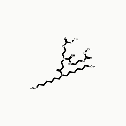 CCCCCCCCCCCCCCCCN(CCCCCCCCCCCCCCCC)C(=O)CCN(CCNC(=O)OC(C)(C)C)C(=N)NCCNC(=O)OC(C)(C)C